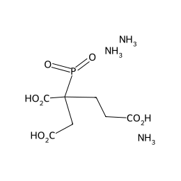 N.N.N.O=C(O)CCC(CC(=O)O)(C(=O)O)P(=O)=O